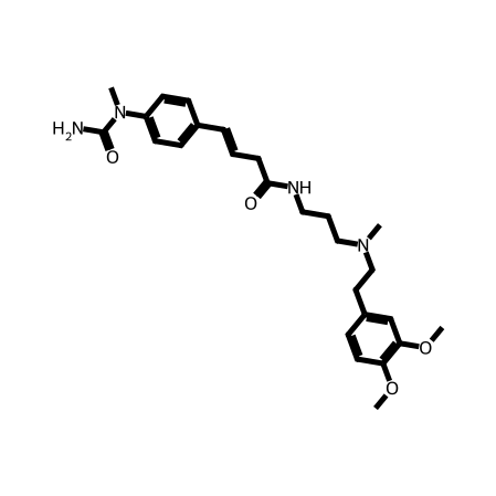 COc1ccc(CCN(C)CCCNC(=O)C/C=C/c2ccc(N(C)C(N)=O)cc2)cc1OC